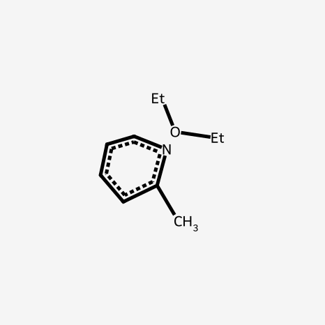 CCOCC.Cc1ccccn1